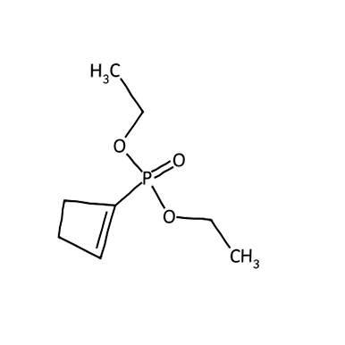 CCOP(=O)(OCC)C1=CCC1